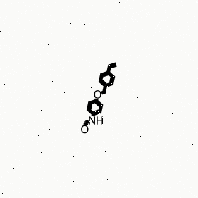 C=Cc1ccc(COc2ccc(NC=O)cc2)cc1